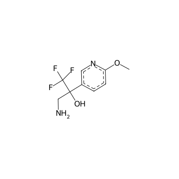 COc1ccc(C(O)(CN)C(F)(F)F)cn1